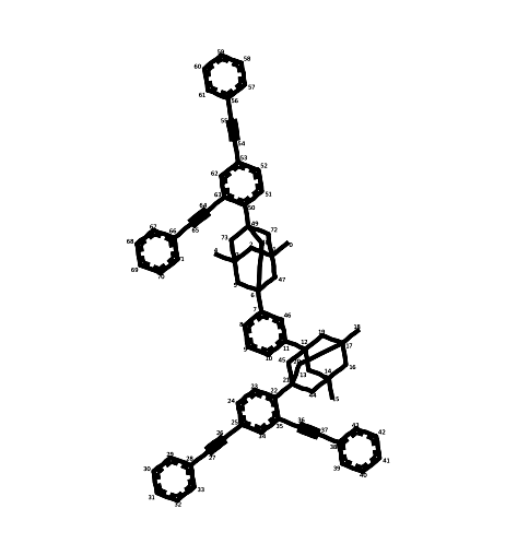 CC12CC3(C)CC(c4cccc(C56CC7(C)CC(C)(C5)CC(c5ccc(C#Cc8ccccc8)cc5C#Cc5ccccc5)(C7)C6)c4)(C1)CC(c1ccc(C#Cc4ccccc4)cc1C#Cc1ccccc1)(C2)C3